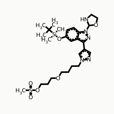 CC(C)(C)[Si](C)(C)Oc1ccc2c(c1)c(-c1cnn(CCCCOCCCOS(C)(=O)=O)c1)nn2C1NCCO1